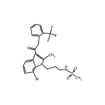 Cc1c(C(=O)Cc2ccccc2C(F)(F)F)c2cccc(Br)c2n1CCCNS(C)(=O)=O